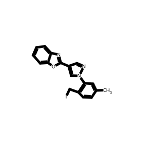 Cc1ccc(CI)c(-n2cc(-c3nc4ccccc4o3)cn2)c1